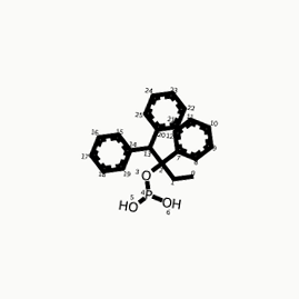 CCC(OP(O)O)(c1ccccc1)C(c1ccccc1)c1ccccc1